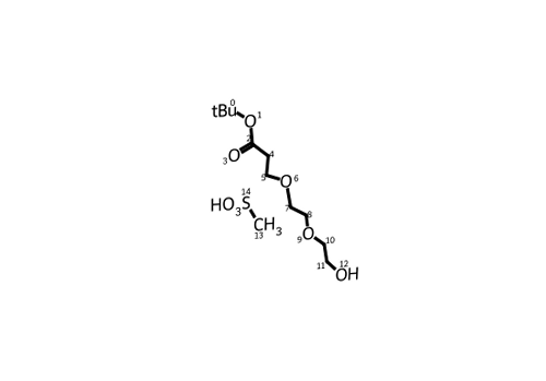 CC(C)(C)OC(=O)CCOCCOCCO.CS(=O)(=O)O